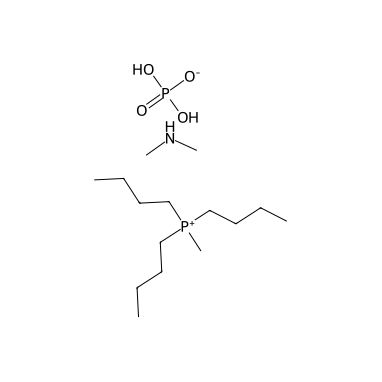 CCCC[P+](C)(CCCC)CCCC.CNC.O=P([O-])(O)O